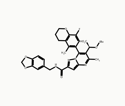 Cc1nc2cc(C(=O)NCc3ccc4c(c3)OCO4)nn2c(-c2cc(F)c3c(c2C)CCCO3)c1[C@H](OC(C)(C)C)C(=O)O